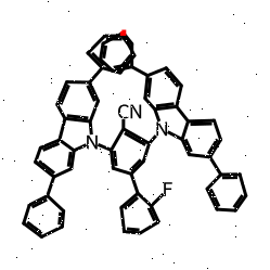 N#Cc1c(-n2c3cc(-c4ccccc4)ccc3c3ccc(-c4ccccc4)cc32)cc(-c2ccccc2F)cc1-n1c2cc(-c3ccccc3)ccc2c2ccc(-c3ccccc3)cc21